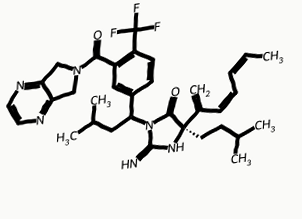 C=C(/C=C\C=C/C)[C@@]1(CCC(C)C)NC(=N)N(C(CC(C)C)c2ccc(C(F)(F)F)c(C(=O)N3Cc4nccnc4C3)c2)C1=O